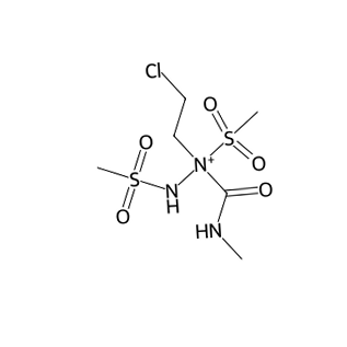 CNC(=O)[N+](CCCl)(NS(C)(=O)=O)S(C)(=O)=O